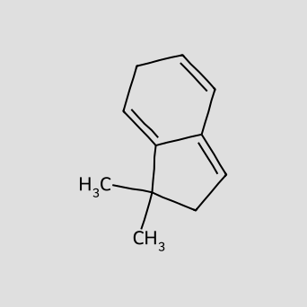 CC1(C)CC=C2C=CCC=C21